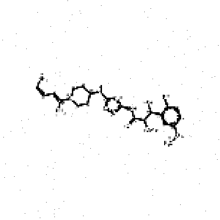 COC(C(=O)Nc1nnc(NC2CCN(/C(N)=C/C=C\N)CC2)s1)C(S)c1cc(OC(F)(F)F)ccc1F